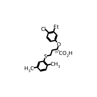 CCc1cc(O[C@@H](CCSc2cc(C)ccc2C)C(=O)O)ccc1Cl